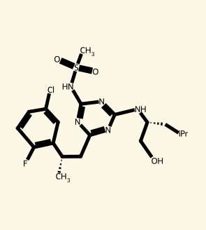 CC(C)C[C@H](CO)Nc1nc(C[C@H](C)c2cc(Cl)ccc2F)nc(NS(C)(=O)=O)n1